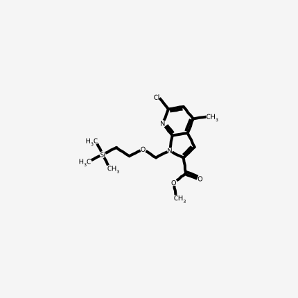 COC(=O)c1cc2c(C)cc(Cl)nc2n1COCC[Si](C)(C)C